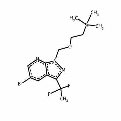 CC(F)(F)c1nn(COCC[Si](C)(C)C)c2ncc(Br)cc12